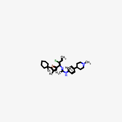 C=C/C(F)=C(\N=C(/C)NC(=C)/C=C\C(=C/C)C1CCN(C)CC1)c1cc(C(C)=O)c(C2(CC)CCCCC2)s1